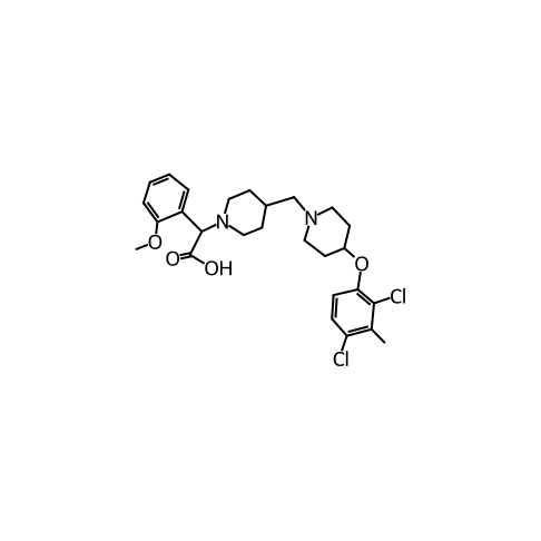 COc1ccccc1C(C(=O)O)N1CCC(CN2CCC(Oc3ccc(Cl)c(C)c3Cl)CC2)CC1